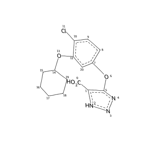 O=C(O)c1[nH]nnc1Oc1ccc(Cl)c(OC2CCCCC2)c1